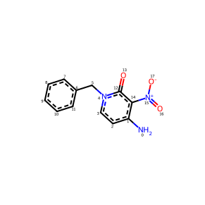 Nc1ccn(Cc2ccccc2)c(=O)c1[N+](=O)[O-]